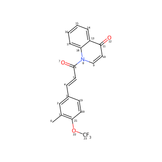 Cc1cc(/C=C/C(=O)n2ccc(=O)c3ccccc32)ccc1OC(F)(F)F